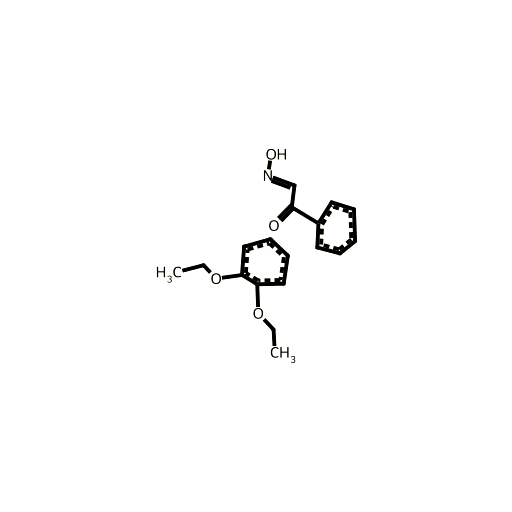 CCOc1ccccc1OCC.O=C(C=NO)c1ccccc1